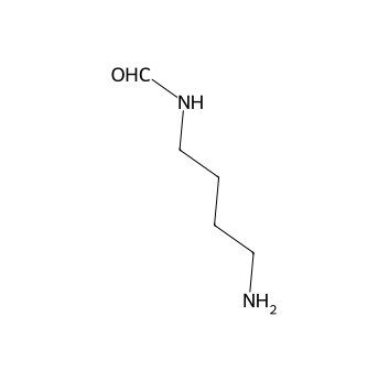 NCCCCNC=O